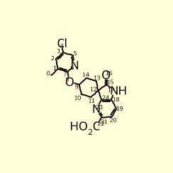 Cc1cc(Cl)cnc1OC1CCC2(CC1)C(=O)Nc1ccc(C(=O)O)nc12